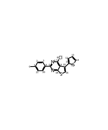 Cc1ccc(-c2nc(Cl)c3c(-c4cccs4)csc3n2)cc1